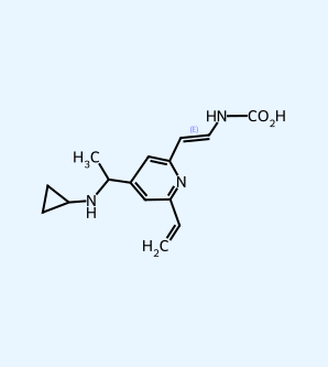 C=Cc1cc(C(C)NC2CC2)cc(/C=C/NC(=O)O)n1